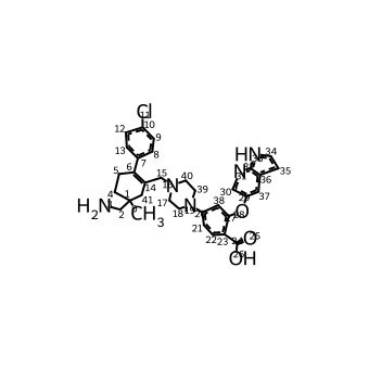 CC1(CN)CCC(c2ccc(Cl)cc2)=C(CN2CCN(c3ccc(C(=O)O)c(Oc4cnc5[nH]ccc5c4)c3)CC2)C1